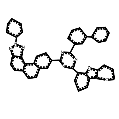 c1ccc(-c2cccc(-c3nc(-c4ccc5c(ccc6ccc7nn(-c8ccccc8)nc7c65)c4)nc(-c4cccc5c4oc4ccccc45)n3)c2)cc1